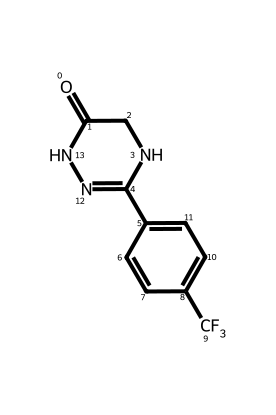 O=C1CNC(c2ccc(C(F)(F)F)cc2)=NN1